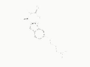 CCN(CC)CCCOc1ccc2cc(C(=O)N(C)C(=N)N)[nH]c2c1